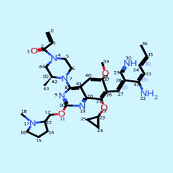 C=CC(=O)N1CCN(c2nc(OCC3CCCN3C)nc3c(OC4CC4)c(/C=C(C=N)/C(N)=C\C=C\C)c(OC)cc23)[C@@H](C)C1